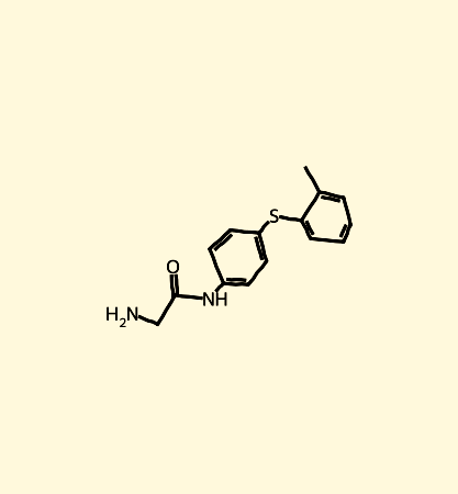 Cc1ccccc1Sc1ccc(NC(=O)CN)cc1